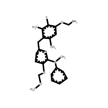 COCOc1ccc(Cc2c(C)cc(OCN)c(F)c2C)nc1N(C)c1ccccc1